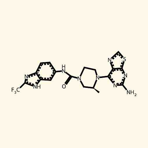 C[C@H]1CN(C(=O)Nc2ccc3nc(C(F)(F)F)[nH]c3c2)CCN1c1nc(N)nc2scnc12